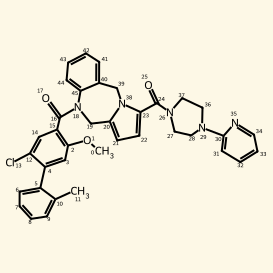 COc1cc(-c2ccccc2C)c(Cl)cc1C(=O)N1Cc2ccc(C(=O)N3CCN(c4ccccn4)CC3)n2Cc2ccccc21